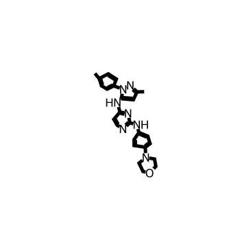 Cc1ccc(-n2nc(C)cc2Nc2ccnc(Nc3ccc(N4CCOCC4)cc3)n2)cc1